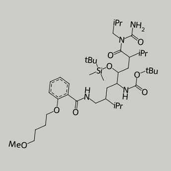 COCCCCOc1ccccc1C(=O)NCC(CC(NC(=O)OC(C)(C)C)C(CC(C(=O)N(CC(C)C)C(N)=O)C(C)C)O[Si](C)(C)C(C)(C)C)C(C)C